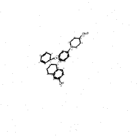 CC1([C@H]2CCc3cc(O)ccc3[C@H]2c2ccc(N3CCC(C=O)CC3)cc2)C=CC=CC1